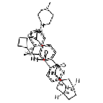 C[C@H](NC(=O)c1ccc(N2[C@@H]3CC[C@H]2C[C@@H](NC(=O)c2ccc(C(N)=O)c(NC4CCC4)c2)C3)nc1)c1ccc(N2CCN(C)CC2)cc1